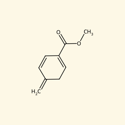 C=C1C=CC(C(=O)OC)=CC1